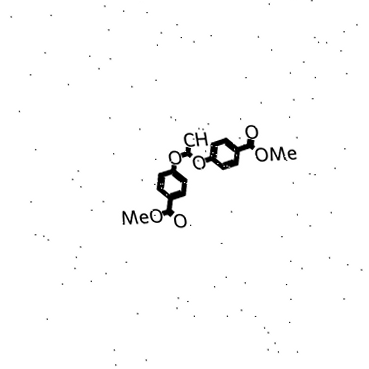 COC(=O)c1ccc(OC(C)Oc2ccc(C(=O)OC)cc2)cc1